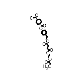 C=CC(=O)OCCOC(=O)CCC(=O)OCCc1ccc(OC(=O)[C@H]2CC[C@H](C(=O)Cl)CC2)cc1